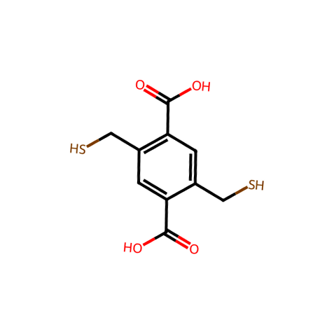 O=C(O)c1cc(CS)c(C(=O)O)cc1CS